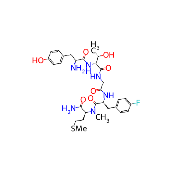 CSCC[C@@H](C(N)=O)N(C)C(=O)[C@H](Cc1ccc(F)cc1)NC(=O)CNC(=O)[C@H](NC(=O)[C@@H](N)Cc1ccc(O)cc1)[C@H](C)O